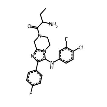 CCC(N)C(=O)N1CCn2c(nc(-c3ccc(F)cc3)c2Nc2ccc(Cl)c(F)c2)C1